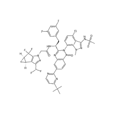 Cn1nc(NS(C)(=O)=O)c2c(Cl)ccc(-n3c([C@H](Cc4cc(F)cc(F)c4)NC(=O)Cn4nc(C(F)F)c5c4C(F)(F)[C@@H]4C[C@H]54)nc4cc(-c5nccc(C(C)(C)C)n5)ccc4c3=O)c21